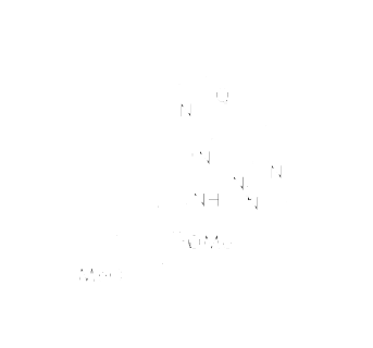 COc1ccc(CNc2nc(-c3ncco3)c(C)c3ncnn23)c(OC)c1